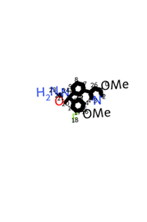 COc1cncc(-c2cccc(C3(c4ccc(OC)c(F)c4)COC(N)=N3)c2)c1